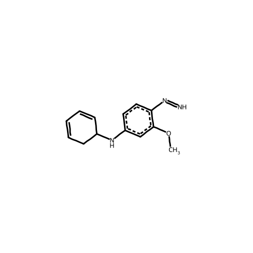 COc1cc(NC2C=CC=CC2)ccc1N=N